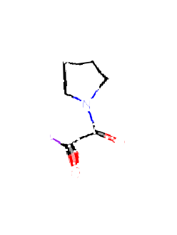 O=C(I)C(=O)N1CCCC1